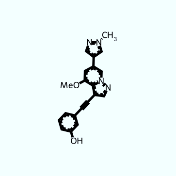 COc1cc(-c2cnn(C)c2)cn2ncc(C#Cc3cccc(O)c3)c12